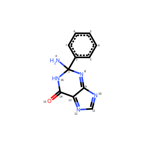 NC1(c2ccccc2)N=C2N=CN=C2C(=O)N1